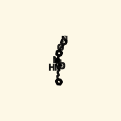 CN1CCC(COc2ccc(-c3cn(C(=O)NCCCCc4ccccc4)cn3)cc2)CC1